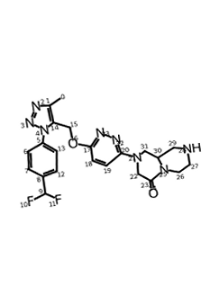 Cc1nnn(-c2ccc(C(F)F)cc2)c1COc1ccc(N2CC(=O)N3CCNCC3C2)nn1